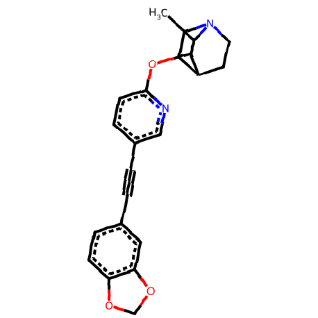 CC1C(Oc2ccc(C#Cc3ccc4c(c3)OCO4)cn2)C2CCN1CC2